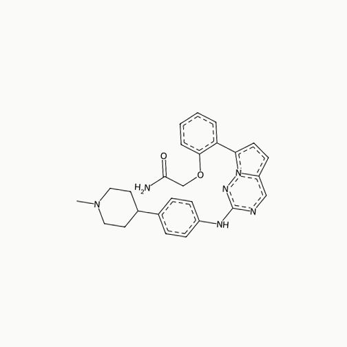 CN1CCC(c2ccc(Nc3ncc4ccc(-c5ccccc5OCC(N)=O)n4n3)cc2)CC1